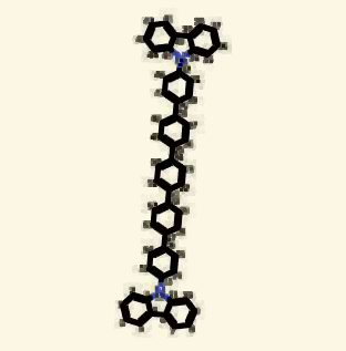 c1ccc2c(c1)c1ccccc1n2-c1ccc(-c2ccc(-c3ccc(-c4ccc(-c5ccc(-n6c7ccccc7c7ccccc76)cc5)cc4)cc3)cc2)cc1